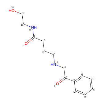 O=C(CCCNCC(=O)c1ccccc1)NCCO